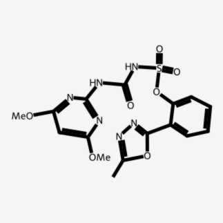 COc1cc(OC)nc(NC(=O)NS(=O)(=O)Oc2ccccc2-c2nnc(C)o2)n1